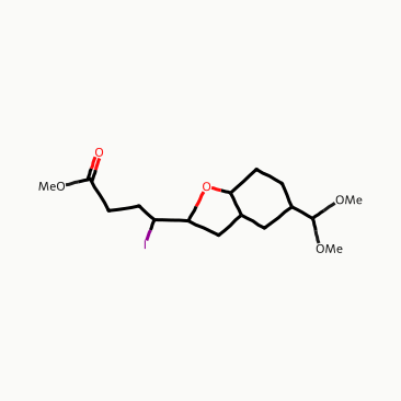 COC(=O)CCC(I)C1CC2CC(C(OC)OC)CCC2O1